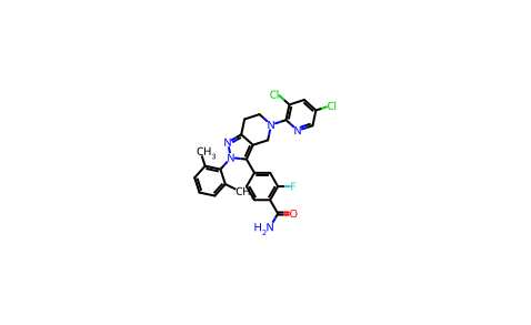 Cc1cccc(C)c1-n1nc2c(c1-c1ccc(C(N)=O)c(F)c1)CN(c1ncc(Cl)cc1Cl)CC2